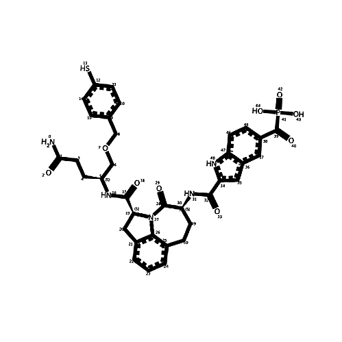 NC(=O)CC[C@@H](COCc1ccc(S)cc1)NC(=O)[C@@H]1Cc2cccc3c2N1C(=O)[C@@H](NC(=O)c1cc2cc(C(=O)P(=O)(O)O)ccc2[nH]1)CC3